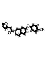 O=C(Cc1cnco1)N1CCc2ccc(Oc3ccc(C(F)(F)F)cc3)cc2C1